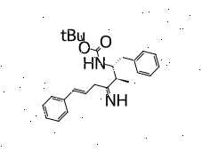 C[C@@H](C(=N)CC=Cc1ccccc1)[C@@H](Cc1ccccc1)NC(=O)OC(C)(C)C